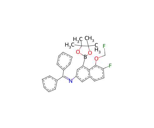 CC1(C)OB(c2cc(N=C(c3ccccc3)c3ccccc3)cc3ccc(F)c(OCF)c23)OC1(C)C